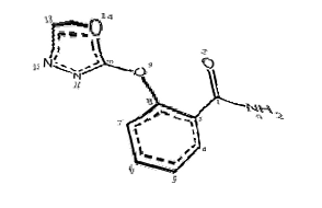 NC(=O)c1ccccc1Oc1nnco1